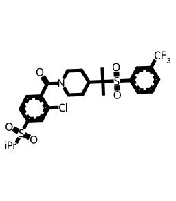 CC(C)S(=O)(=O)c1ccc(C(=O)N2CCC(C(C)(C)S(=O)(=O)c3cccc(C(F)(F)F)c3)CC2)c(Cl)c1